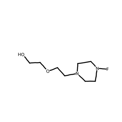 OCCOCCN1CCN(F)CC1